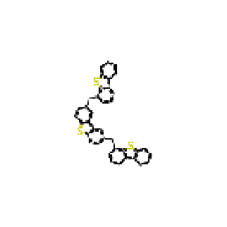 c1ccc2c(c1)sc1c(Cc3ccc4sc5ccc(Cc6cccc7c6sc6ccccc67)cc5c4c3)cccc12